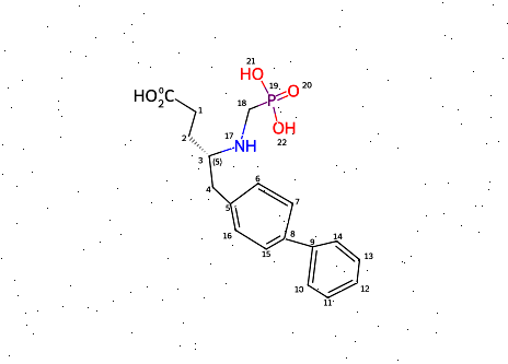 O=C(O)CC[C@@H](Cc1ccc(-c2ccccc2)cc1)NCP(=O)(O)O